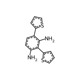 Nc1ccc(-c2cccs2)c(N)c1-c1cccs1